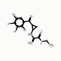 C=C(NC1CC1C(=O)c1cc(F)c(F)c(F)c1F)C(=O)OCC